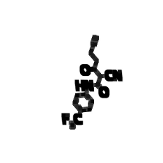 C#CCCC(=O)C(C#N)C(=O)Nc1ccc(C(F)(F)F)cc1